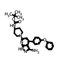 CC(C)(C)OC(=O)NC1CCN(c2cc(-c3ccc(Oc4ccccc4)cc3)c3c(N)n[nH]c3n2)CC1